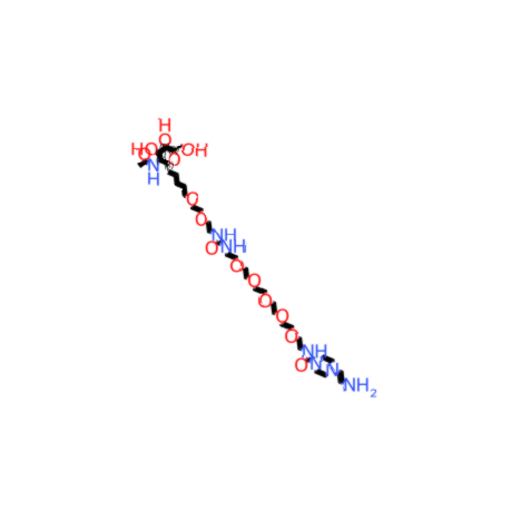 CC(=O)N[C@@H]1[C@@H](O)[C@@H](O)[C@@H](CO)O[C@@H]1CCCCCOCCOCCNC(=O)NCCOCCOCCOCCOCCOCCNC(=O)N1CCN(CCN)CC1